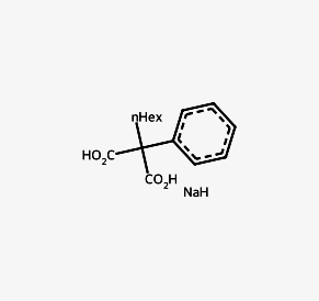 CCCCCCC(C(=O)O)(C(=O)O)c1ccccc1.[NaH]